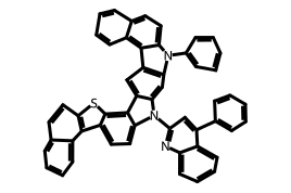 c1ccc(-c2cc(-n3c4cc5c(cc4c4c6sc7ccc8ccccc8c7c6ccc43)c3c4ccccc4ccc3n5-c3ccccc3)nc3ccccc23)cc1